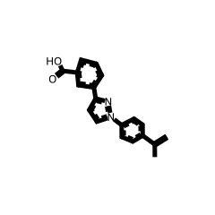 C=C(C)c1ccc(-n2ccc(-c3cccc(C(=O)O)c3)n2)cc1